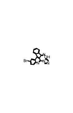 ON=C1c2ccccc2-c2c1c(-n1ccnc1)nc1ccc(Br)cc21